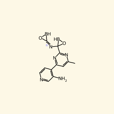 Cc1cc(-c2ccncc2N)nc(C2(/N=C3\BO3)BO2)n1